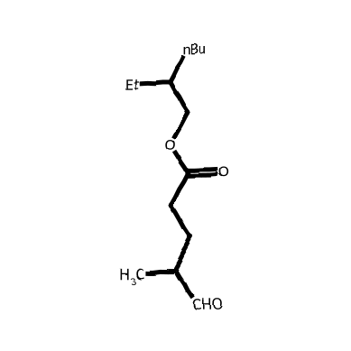 CCCCC(CC)COC(=O)CCC(C)C=O